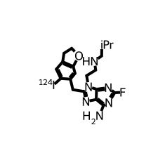 CC(C)CNCCn1c(Cc2cc3c(cc2[124I])CCO3)nc2c(N)nc(F)nc21